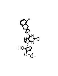 OC[C@H]1O[C@@H](n2cnc3c(N4CC5(Cc6cccc(F)c6C5)C4)nc(Cl)nc32)[C@@H](O)C1O